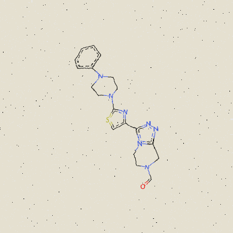 O=CN1CCn2c(nnc2-c2csc(N3CCN(c4ccccc4)CC3)n2)C1